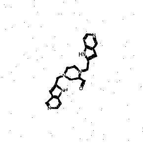 O=CC1CN(Cc2cc3cnccc3[nH]2)CCN1Cc1cc2cnccc2[nH]1